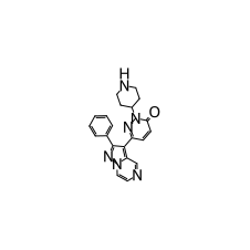 O=c1ccc(-c2c(-c3ccccc3)nn3ccncc23)nn1C1CCNCC1